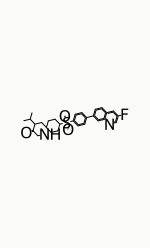 CC(C)C1CC2(CCC(S(=O)(=O)c3ccc(-c4ccc5cc(F)cnc5c4)cc3)CC2)NCC1=O